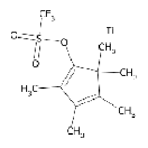 CC1=C(C)C(C)(C)C(OS(=O)(=O)C(F)(F)F)=C1C.[Ti]